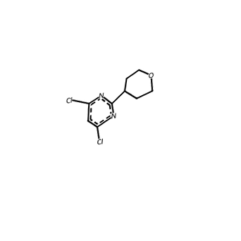 Clc1cc(Cl)nc(C2CCOCC2)n1